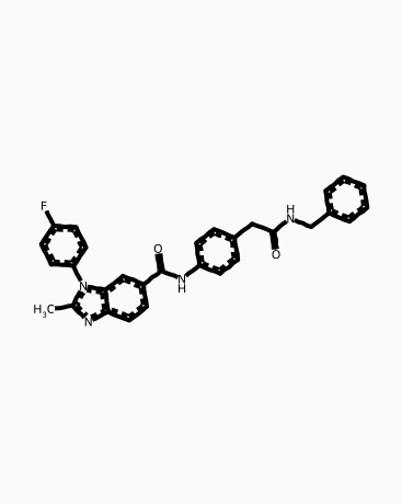 Cc1nc2ccc(C(=O)Nc3ccc(CC(=O)NCc4ccccc4)cc3)cc2n1-c1ccc(F)cc1